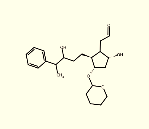 CC(c1ccccc1)C(O)CC[C@H]1C(CC=O)[C@H](O)C[C@@H]1OC1CCCCO1